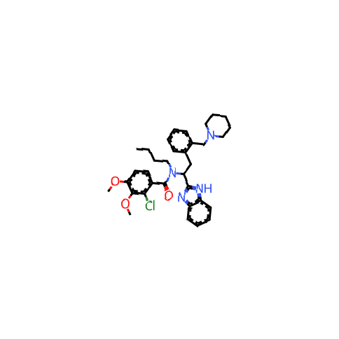 CCCCN(C(=O)c1ccc(OC)c(OC)c1Cl)C(Cc1ccccc1CN1CCCCC1)c1nc2ccccc2[nH]1